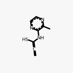 C=C=C(S)Nc1nccnc1C